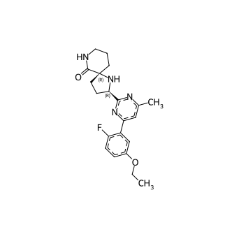 CCOc1ccc(F)c(-c2cc(C)nc([C@H]3CC[C@@]4(CCCNC4=O)N3)n2)c1